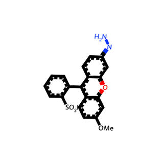 COc1ccc2c(-c3ccccc3S(=O)(=O)O)c3cc/c(=N\N)cc-3oc2c1